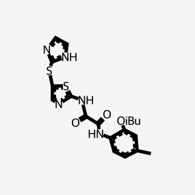 Cc1ccc(NC(=O)C(=O)Nc2ncc(Sc3ncc[nH]3)s2)c(OCC(C)C)c1